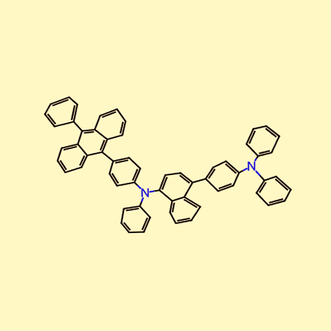 c1ccc(-c2c3ccccc3c(-c3ccc(N(c4ccccc4)c4ccc(-c5ccc(N(c6ccccc6)c6ccccc6)cc5)c5ccccc45)cc3)c3ccccc23)cc1